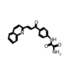 NC(=O)C(=O)Nc1ccc(C(=O)C=Cc2ccc3ccccc3n2)cc1